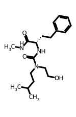 CNC(=O)[C@H](CCc1ccccc1)NC(=O)N(CCO)CCC(C)C